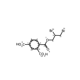 O=C(O)c1ccc(C(=O)OCC(Br)CBr)c(C(=O)O)c1